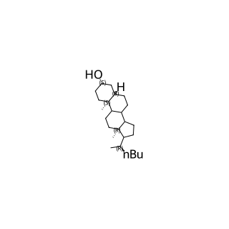 CCCC[C@@H](C)C1CCC2C3CC[C@H]4C[C@@H](O)CC[C@]4(C)C3CC[C@@]21C